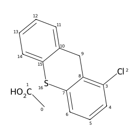 CC(=O)O.Clc1cccc2c1Cc1ccccc1S2